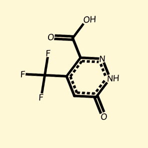 O=C(O)c1n[nH]c(=O)cc1C(F)(F)F